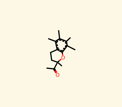 CC(=O)C1(C)CCc2c(C)c(C)c(C)c(C)c2O1